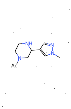 CC(=O)N1CCNC(c2cnn(C)c2)C1